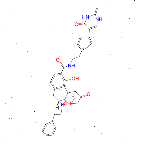 C=C1NC=C(c2ccc(CCNC(=O)c3ccc4c(c3O)[C@]35CCN(CCc6ccccc6)[C@H](C4)[C@]3(O)CCC(=O)C5)cc2)C(=O)N1